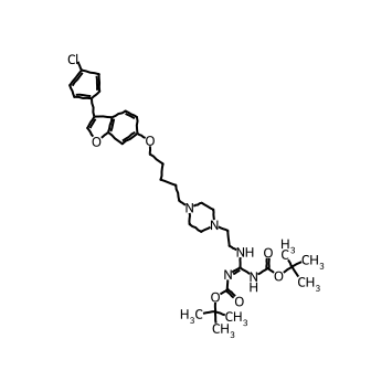 CC(C)(C)OC(=O)N=C(NCCN1CCN(CCCCCOc2ccc3c(-c4ccc(Cl)cc4)coc3c2)CC1)NC(=O)OC(C)(C)C